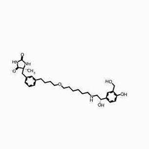 C[C@@]1(Cc2cccc(CCCCOCCCCCCNC[C@@H](O)c3ccc(O)c(CO)c3)c2)NC(=O)NC1=O